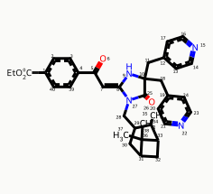 CCOC(=O)c1ccc(C(=O)C=C2NC(Cc3ccncc3)(Cc3ccncc3)C(=O)N2CC2CC3CC(C2C)C3(C)C)cc1